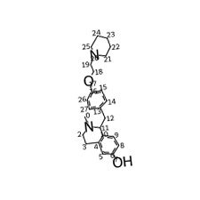 CN1CCc2cc(O)ccc2C1Cc1ccc(OCCN2CCCCC2)cc1